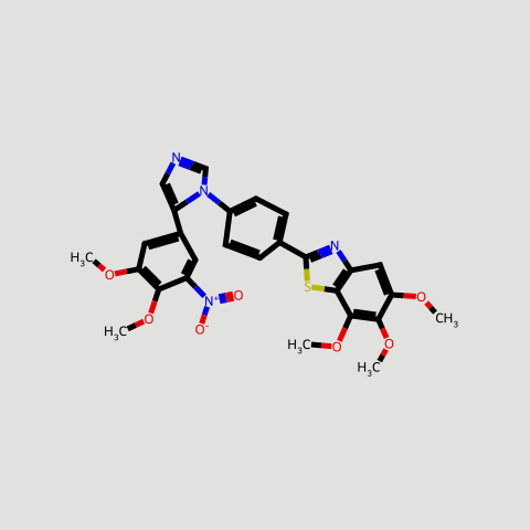 COc1cc(-c2cncn2-c2ccc(-c3nc4cc(OC)c(OC)c(OC)c4s3)cc2)cc([N+](=O)[O-])c1OC